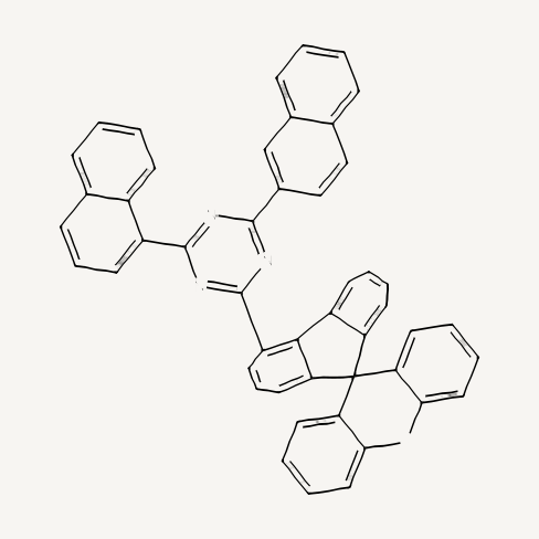 c1ccc2c(c1)Sc1ccccc1C21c2ccccc2-c2c(-c3nc(-c4ccc5ccccc5c4)nc(-c4cccc5ccccc45)n3)cccc21